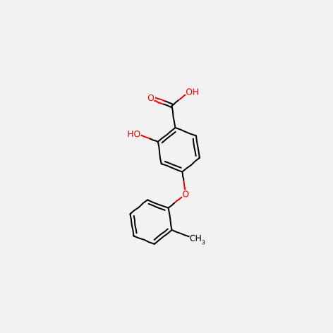 Cc1ccccc1Oc1ccc(C(=O)O)c(O)c1